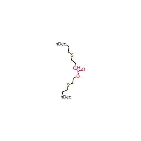 CCCCCCCCCCCCSCCO[PH](=O)OCCSCCCCCCCCCCCC